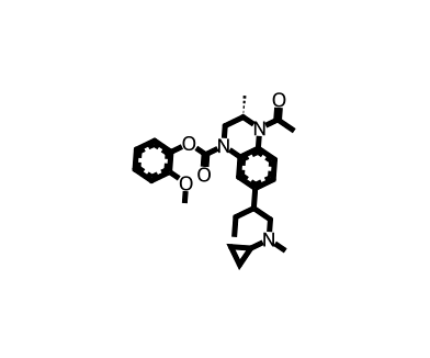 CCC(CN(C)C1CC1)c1ccc2c(c1)N(C(=O)Oc1ccccc1OC)C[C@H](C)N2C(C)=O